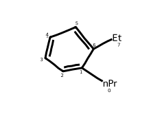 CCCc1cc[c]cc1CC